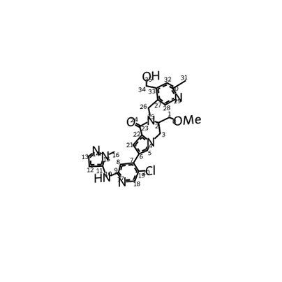 COCC1Cn2cc(-c3cc(Nc4ccnn4C)ncc3Cl)cc2C(=O)N1Cc1cnc(C)cc1CO